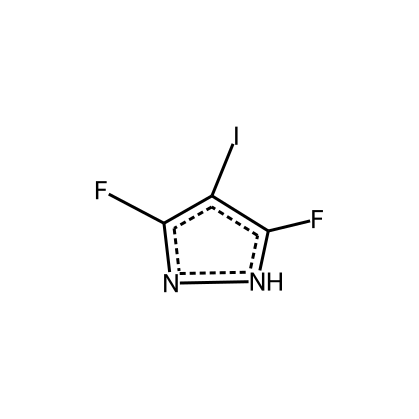 Fc1n[nH]c(F)c1I